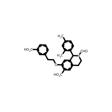 Cc1ccc(C2c3cc(OCCc4cccc(C(=O)O)c4)c(C(=O)O)cc3CCN2C=O)c(C)c1